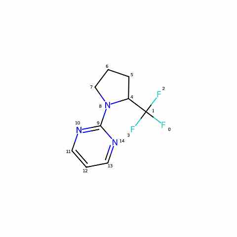 FC(F)(F)C1CCCN1c1ncccn1